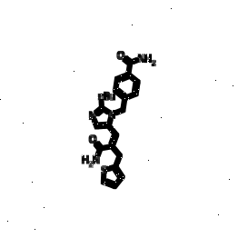 CCCCc1ncc(C=C(Cc2cccs2)C(N)=O)n1Cc1ccc(C(N)=O)cc1